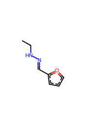 CCNN=Cc1ccco1